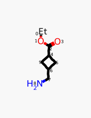 CCOC(=O)C1CC(CN)C1